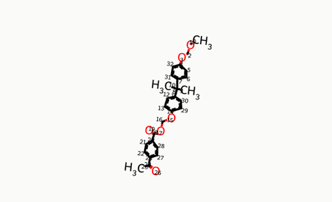 COCOc1ccc(C(C)(C)c2ccc(OCOC(=O)c3ccc(C(C)=O)cc3)cc2)cc1